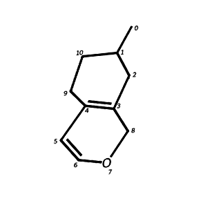 CC1[CH]C2=C(C=COC2)CC1